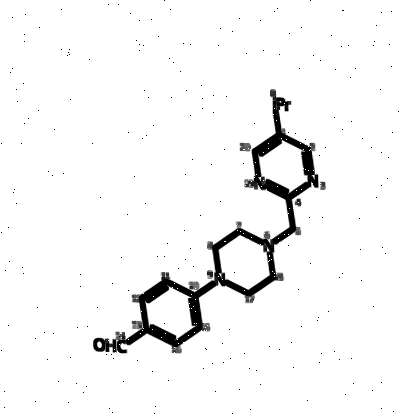 CC(C)c1cnc(CN2CCN(c3ccc(C=O)cc3)CC2)nc1